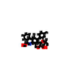 Cc1ccc(-c2c([C@H](OC(C)(C)C)C(=O)O)c(C)c3nc(O)c4c(c3c2C)CCCC4)cc1